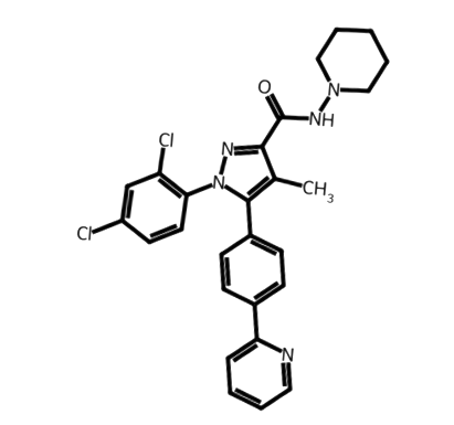 Cc1c(C(=O)NN2CCCCC2)nn(-c2ccc(Cl)cc2Cl)c1-c1ccc(-c2ccccn2)cc1